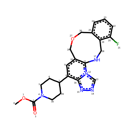 COC(=O)N1CCC(c2cc3c(n4cnnc24)NCc2c(F)cccc2COC3)CC1